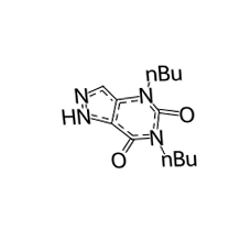 CCCCn1c(=O)c2[nH]ncc2n(CCCC)c1=O